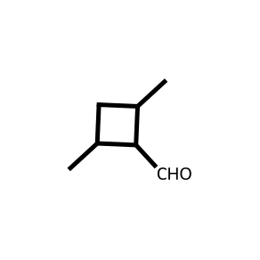 CC1CC(C)C1C=O